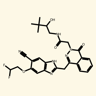 CC(C)(C)C(O)CNC(=O)Cn1nc(Cc2nc3cc(OCC(F)F)c(C#N)cc3[nH]2)c2ccccc2c1=O